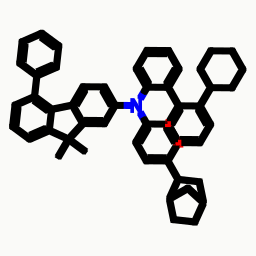 CC1(C)c2cc(N(c3ccc(C4CC5CCC4C5)cc3)c3ccccc3-c3ccccc3C3CCCCC3)ccc2-c2c(-c3ccccc3)cccc21